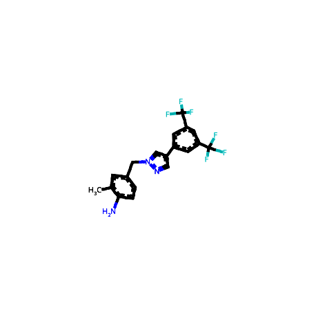 Cc1cc(Cn2cc(-c3cc(C(F)(F)F)cc(C(F)(F)F)c3)cn2)ccc1N